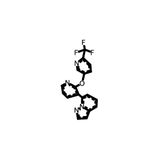 FC(F)(F)c1ccc(Oc2ncccc2-c2cccc3ccnn23)cn1